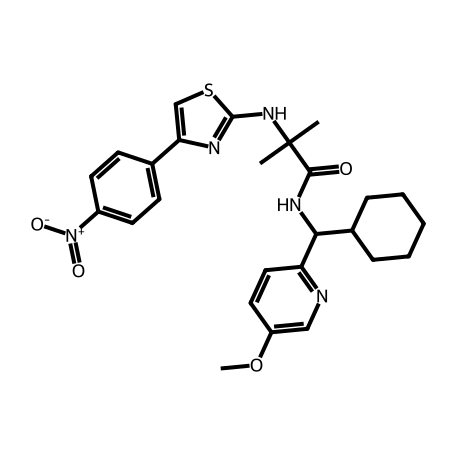 COc1ccc(C(NC(=O)C(C)(C)Nc2nc(-c3ccc([N+](=O)[O-])cc3)cs2)C2CCCCC2)nc1